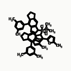 Cc1cc(C)cc(-c2c3c(cc4c2CCC4)[CH]([Zr]([Cl])([Cl])([CH]2C(c4ccc(C)o4)=Cc4c2cc2c(c4-c4cc(C)cc(C)c4)CCC2)[SiH](C)C)C(c2ccc(C)o2)=C3)c1